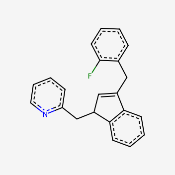 Fc1ccccc1CC1=CC(Cc2ccccn2)c2ccccc21